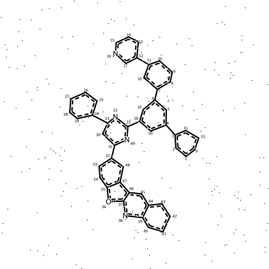 c1ccc(-c2cc(-c3cccc(-c4cccnc4)c3)cc(-c3nc(-c4ccccc4)cc(-c4ccc5oc6nc7ccccc7cc6c5c4)n3)c2)cc1